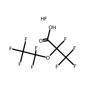 F.O=C(O)C(F)(OC(F)(F)C(F)(F)F)C(F)(F)F